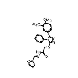 COc1ccc(-c2nnc(SCC(=O)N/N=C/c3ccco3)n2-c2ccccc2)cc1OC